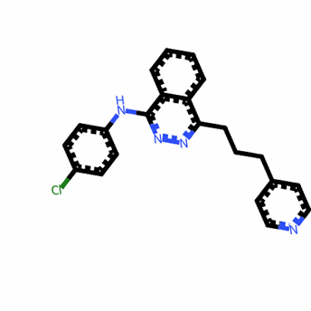 Clc1ccc(Nc2nnc(CCCc3ccncc3)c3ccccc23)cc1